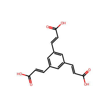 O=C(O)/C=C/c1cc(/C=C/C(=O)O)cc(/C=C/C(=O)O)c1